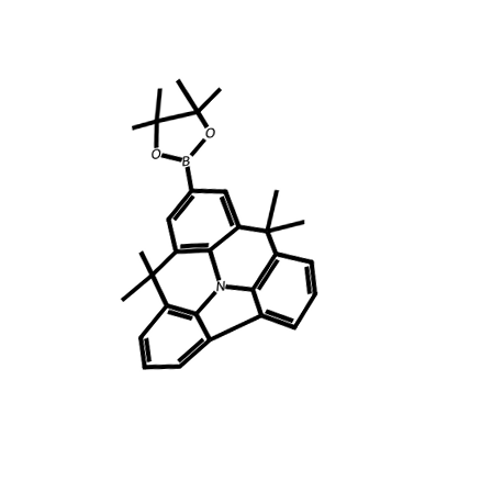 CC1(C)c2cc(B3OC(C)(C)C(C)(C)O3)cc3c2-n2c4c1cccc4c1cccc(c12)C3(C)C